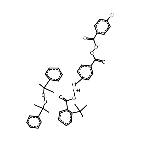 CC(C)(C)c1ccccc1C(=O)OO.CC(C)(OOC(C)(C)c1ccccc1)c1ccccc1.O=C(OOC(=O)c1ccc(Cl)cc1)c1ccc(Cl)cc1